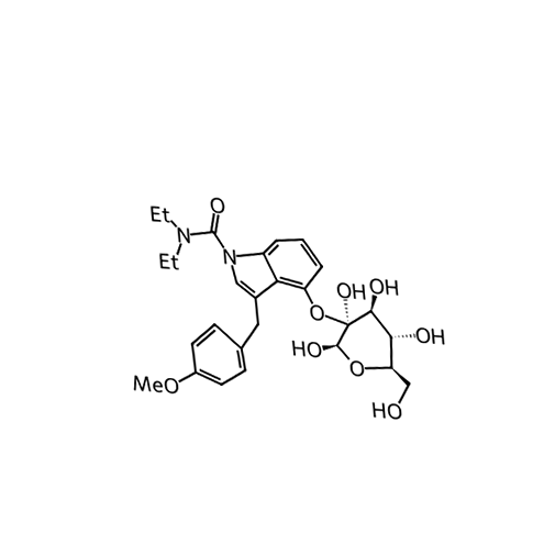 CCN(CC)C(=O)n1cc(Cc2ccc(OC)cc2)c2c(O[C@]3(O)[C@H](O)O[C@H](CO)[C@@H](O)[C@@H]3O)cccc21